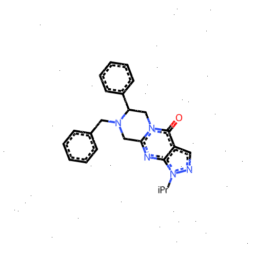 CC(C)n1ncc2c(=O)n3c(nc21)CN(Cc1ccccc1)C(c1ccccc1)C3